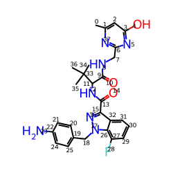 Cc1cc(O)nc(CNC(=O)C(NC(=O)c2nn(Cc3ccc(N)cc3)c3c(F)cccc23)C(C)(C)C)n1